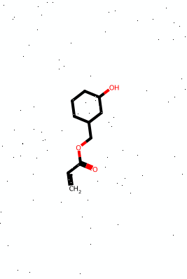 C=CC(=O)OCC1CCCC(O)C1